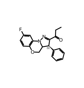 CCC(=O)C1=NN2c3cc(F)ccc3OCC2[C@@H]1c1ccccc1